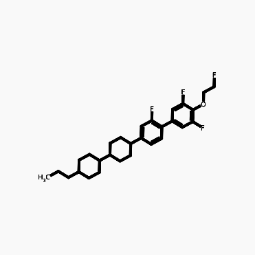 CCCC1CCC(C2CCC(c3ccc(-c4cc(F)c(OCCF)c(F)c4)c(F)c3)CC2)CC1